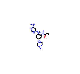 C=CC(=O)Nc1cc(N2CCN(CC)CC2)ccc1Nc1cc(N(C)C)ncn1